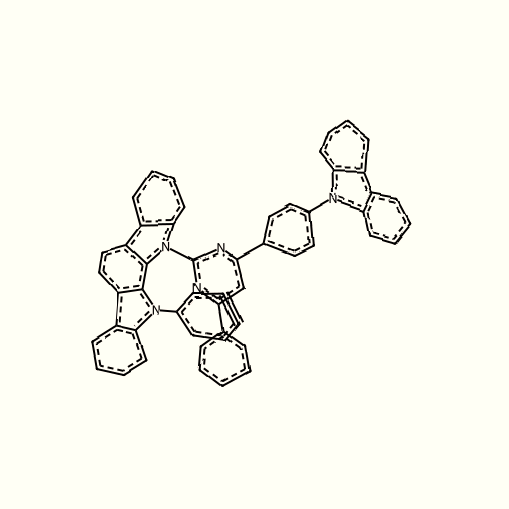 c1ccc(-n2c3ccccc3c3ccc4c5ccccc5n(-c5nc(-c6ccccc6)cc(-c6ccc(-n7c8ccccc8c8ccccc87)cc6)n5)c4c32)cc#1